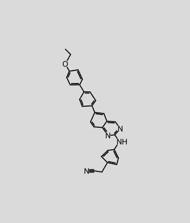 CCOc1ccc(-c2ccc(-c3ccc4nc(Nc5ccc(CC#N)cc5)ncc4c3)cc2)cc1